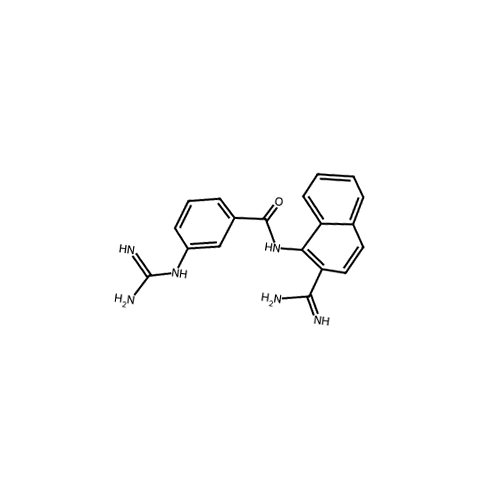 N=C(N)Nc1cccc(C(=O)Nc2c(C(=N)N)ccc3ccccc23)c1